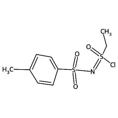 CCS(=O)(Cl)=NS(=O)(=O)c1ccc(C)cc1